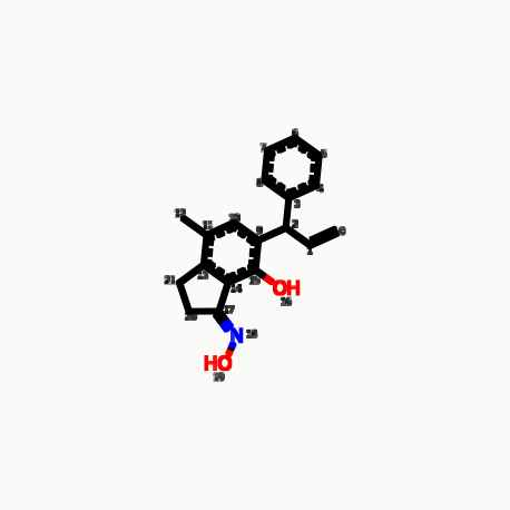 C=CC(c1ccccc1)c1cc(C)c2c(c1O)C(=NO)CC2